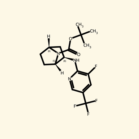 CC(C)(C)OC(=O)N1[C@@H]2CC[C@H]1[C@H](Nc1ncc(C(F)(F)F)cc1F)C2